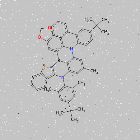 Cc1cc2c3c(c1)N(c1c(C)cc(C(C)(C)C)cc1C)c1c(sc4ccccc14)B3c1cc3c(cc1N2c1ccc(C(C)(C)C)cc1-c1ccccc1)OCO3